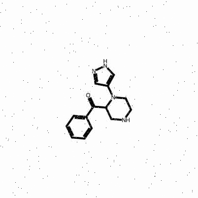 O=C(c1ccccc1)C1CNCCN1c1cn[nH]c1